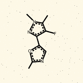 Cc1ncc(-c2nn(C)c(C)c2F)o1